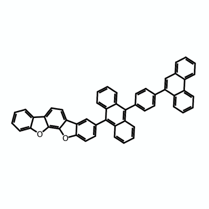 c1ccc2c(c1)cc(-c1ccc(-c3c4ccccc4c(-c4ccc5oc6c(ccc7c8ccccc8oc76)c5c4)c4ccccc34)cc1)c1ccccc12